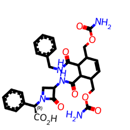 NC(=O)OCC1C=CC(COC(N)=O)C(C(=O)NC2CN([C@@H](C(=O)O)c3ccccc3)C2=O)C1C(=O)NCc1ccccc1